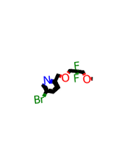 COCC(F)(F)COCc1ccc(Br)cn1